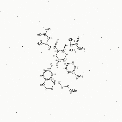 CNC(=O)C(C)(C)C[C@H]1C[C@H](c2ccc(OC)cc2)[C@@H](OCc2ccc3c(c2)N(CCCOC)CCO3)CN1C(=O)OC(C)OC(=O)C(C)C